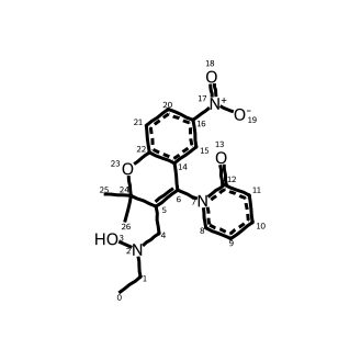 CCN(O)CC1=C(n2ccccc2=O)c2cc([N+](=O)[O-])ccc2OC1(C)C